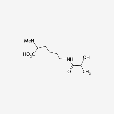 CNC(CCCCNC(=O)C(C)O)C(=O)O